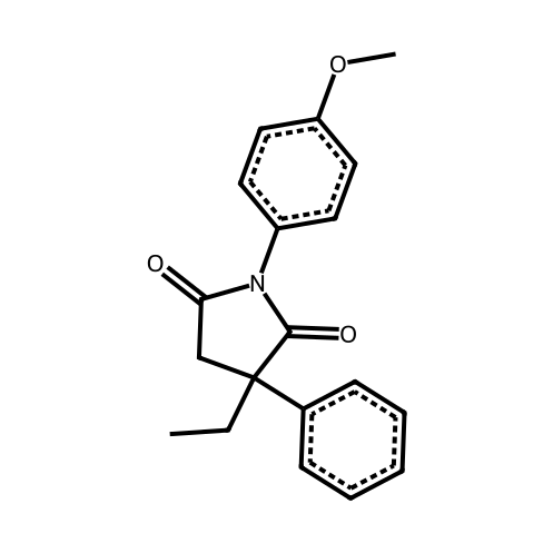 CCC1(c2ccccc2)CC(=O)N(c2ccc(OC)cc2)C1=O